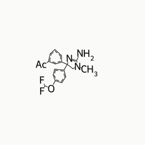 CC(=O)c1cccc(C2(c3ccc(OC(F)F)cc3)CN(C)C(N)=N2)c1